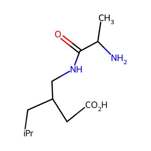 CC(C)CC(CNC(=O)C(C)N)CC(=O)O